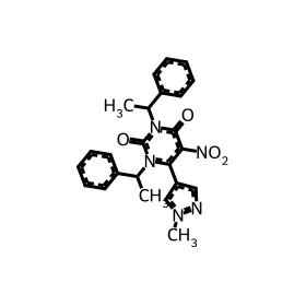 CC(c1ccccc1)n1c(-c2cnn(C)c2)c([N+](=O)[O-])c(=O)n(C(C)c2ccccc2)c1=O